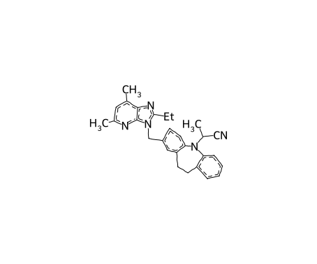 CCc1nc2c(C)cc(C)nc2n1Cc1ccc2c(c1)CCc1ccccc1N2C(C)C#N